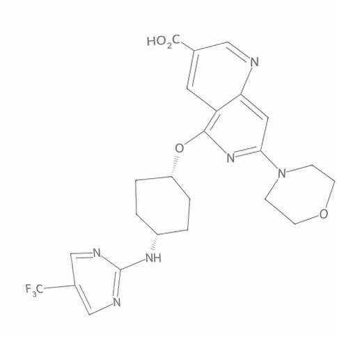 O=C(O)c1cnc2cc(N3CCOCC3)nc(O[C@H]3CC[C@@H](Nc4ncc(C(F)(F)F)cn4)CC3)c2c1